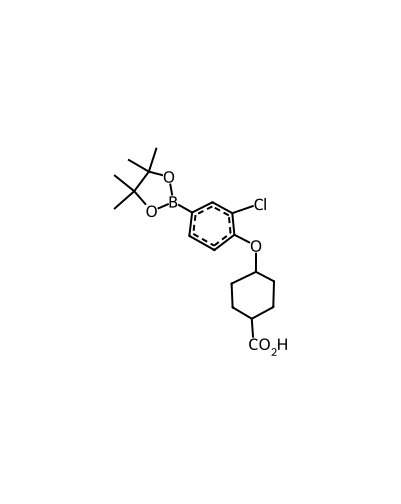 CC1(C)OB(c2ccc(OC3CCC(C(=O)O)CC3)c(Cl)c2)OC1(C)C